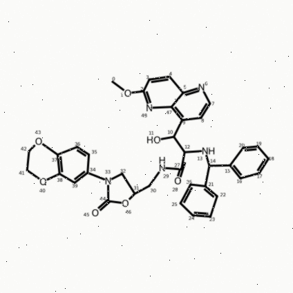 COc1ccc2nccc(C(O)C(NC(c3ccccc3)c3ccccc3)C(=O)NCC3CN(c4ccc5c(c4)OCCO5)C(=O)O3)c2n1